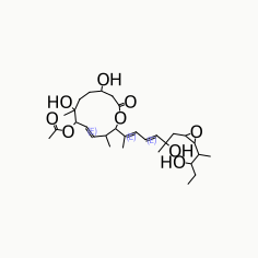 CCC(O)C(C)C1OC1CC(C)(O)/C=C/C=C(\C)C1OC(=O)CC(O)CCC(C)(O)C(OC(C)=O)/C=C/C1C